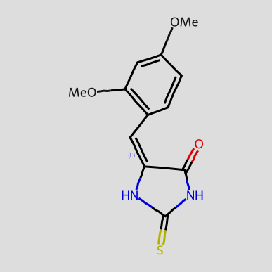 COc1ccc(/C=C2/NC(=S)NC2=O)c(OC)c1